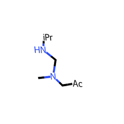 CC(=O)CN(C)CNC(C)C